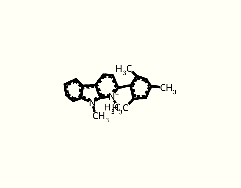 Cc1cc(C)c(-c2ccc3c4ccccc4n(C)c3[n+]2C)c(C)c1